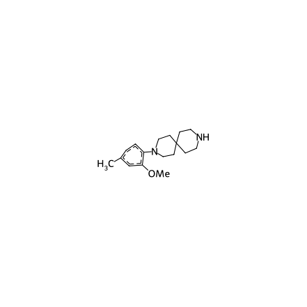 COc1cc(C)ccc1N1CCC2(CCNCC2)CC1